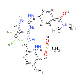 Cc1ccc(CNc2nc(Nc3ccc(C(=O)N(C)C)cc3)ncc2C(F)(F)F)c(NS(C)(=O)=O)c1